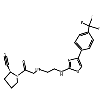 N#C[C@@H]1CCCN1C(=O)CNCCNc1nc(-c2ccc(C(F)(F)F)cc2)cs1